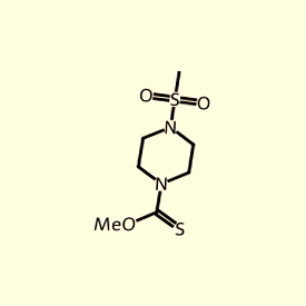 COC(=S)N1CCN(S(C)(=O)=O)CC1